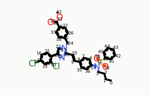 CCCCN(c1ccc(/C=C/c2nc(-c3ccc(Cl)cc3Cl)cn2Cc2ccc(C(=O)OC)cc2)cc1)S(=O)(=O)c1ccccc1